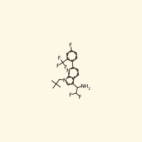 CC(C)(C)Cn1cc(C(N)C(F)F)c2ccc(-c3ccc(F)cc3C(F)(F)F)nc21